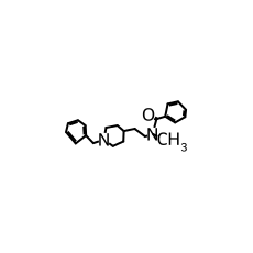 CN(CCC1CCN(Cc2ccccc2)CC1)C(=O)c1ccccc1